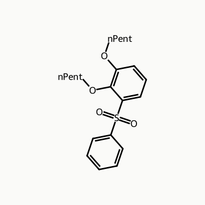 CCCCCOc1cccc(S(=O)(=O)c2ccccc2)c1OCCCCC